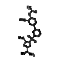 CSc1sc(C(=N)N)cc1S(=O)(=O)c1cccc(-c2ccc(OC(=O)C(F)(F)F)c(C=O)c2)c1